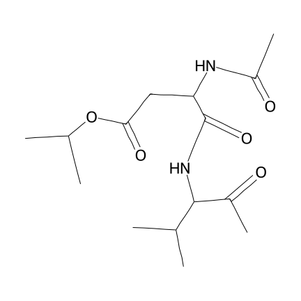 CC(=O)NC(CC(=O)OC(C)C)C(=O)NC(C(C)=O)C(C)C